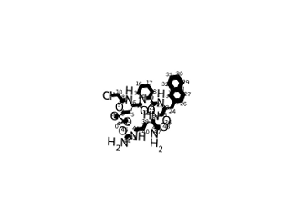 CS(=O)(=O)CC[C@H](NC(=O)CCl)C(=O)N1CCCC[C@H]1C(=O)N[C@@H](Cc1ccc2ccccc2c1)C(=O)N[C@@H](CCCNC(N)=O)C(N)=O